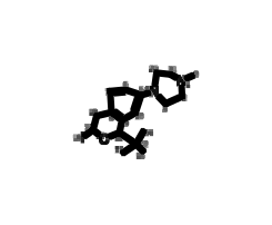 CN1CCN(c2ccc3c(c2)C(C(C)(C)C)OC(I)C3)CC1